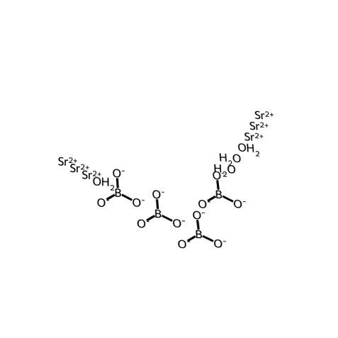 O.O.O.O.[O-]B([O-])[O-].[O-]B([O-])[O-].[O-]B([O-])[O-].[O-]B([O-])[O-].[Sr+2].[Sr+2].[Sr+2].[Sr+2].[Sr+2].[Sr+2]